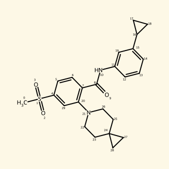 CS(=O)(=O)c1ccc(C(=O)Nc2cccc(C3CC3)c2)c(N2CCC3(CC2)CC3)c1